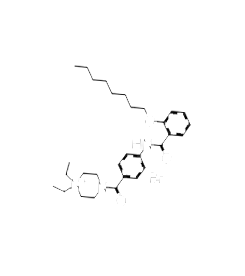 CCCCCCCCOc1ccccc1C(=O)Nc1ccc(C(=O)N2CC[N+](CC)(CC)CC2)cc1.[Br-]